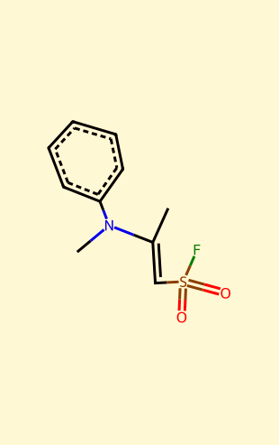 C/C(=C\S(=O)(=O)F)N(C)c1ccccc1